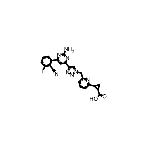 N#Cc1c(I)cccc1-c1cc(-c2cn(Cc3cccc(C4CC4C(=O)O)n3)nn2)nc(N)n1